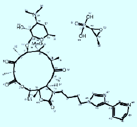 CC[C@H]1OC(=O)[C@H](C)C(=O)[C@H](C)[C@@H](O[C@@H]2O[C@H](C)C[C@H](N(C)C)[C@H]2O)[C@](C)(OC)C[C@@H](C)C(=O)[C@H](C)[C@H]2N(CCCCn3cnc(-c4cccnc4)c3)C(=O)O[C@]12C.C[C@@H]1O[C@@H]1P(=O)(O)O